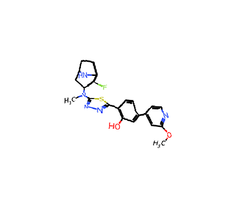 COc1cc(-c2ccc(-c3nnc(N(C)[C@H]4CC5CCC(N5)[C@H]4F)s3)c(O)c2)ccn1